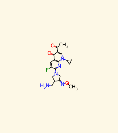 CO/N=C1\CN(c2nc3c(cc2F)c(=O)c(C(C)=O)cn3C2CC2)CC1CN